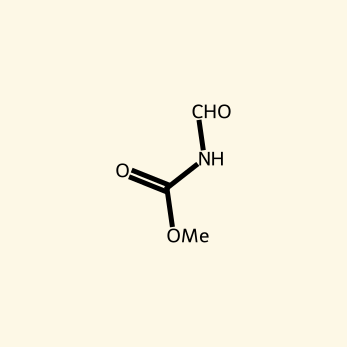 [CH2]OC(=O)NC=O